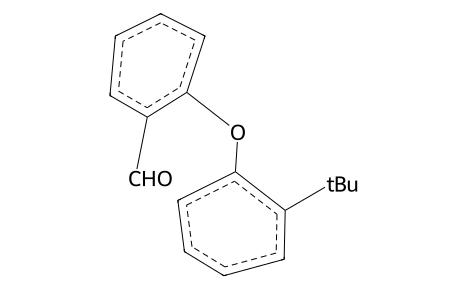 CC(C)(C)c1ccccc1Oc1ccccc1C=O